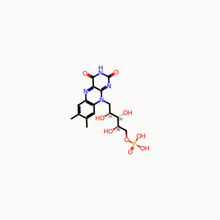 Cc1cc2nc3c(=O)[nH]c(=O)nc-3n(C[C@H](O)[C@H](O)[C@H](O)COP(=O)(O)O)c2cc1C